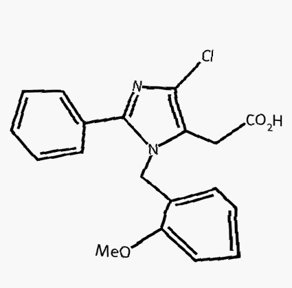 COc1ccccc1Cn1c(-c2ccccc2)nc(Cl)c1CC(=O)O